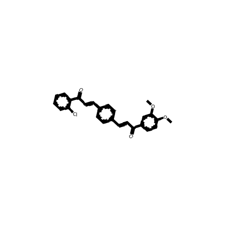 COc1ccc(C(=O)/C=C/c2ccc(/C=C/C(=O)c3ccccc3Cl)cc2)cc1OC